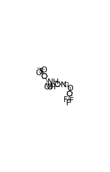 CCS(=O)(=O)c1ccc([C@H](CO)NC(=O)c2ccc(N3CC[C@@H](Oc4ccc(C(F)(F)F)cc4)C3)cc2)cc1